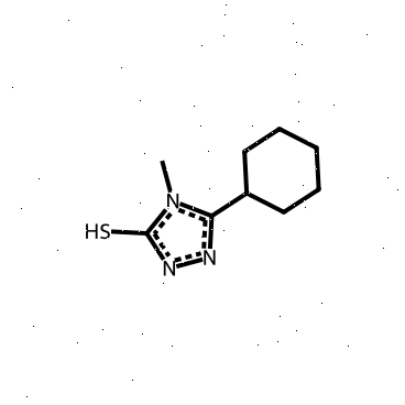 Cn1c(S)nnc1C1CCCCC1